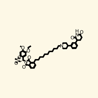 CCOc1cc([C@@H](CS(C)(=O)=O)N2C(=O)c3cccc(CCCCCCCCCCCN4CCC(c5cccc(C6CCC(=O)NC6=O)c5)CC4)c3C2=O)ccc1OC